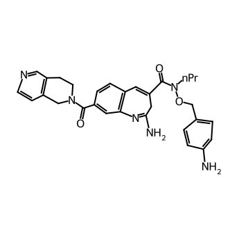 CCCN(OCc1ccc(N)cc1)C(=O)C1=Cc2ccc(C(=O)N3CCc4cnccc4C3)cc2N=C(N)C1